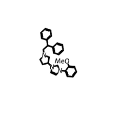 COc1ccccc1N1C=CN(C2CCN(CC(c3ccccc3)c3ccccc3)C2)C1